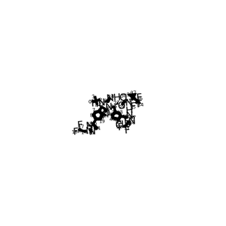 CC(C)(C)C[C@]1(c2ccc(-c3cnn(CC(F)F)n3)cc2F)NC(=N)N([C@H](COC(=O)NC2(C(F)(F)F)CC2)c2ccc(Cl)c(-c3ncnn3C(F)F)c2)C1=O